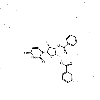 O=C(OC[C@@H]1O[C@@H](n2ccc(=O)[nH]c2=O)[C@@H](F)[C@@H]1OC(=O)c1ccccc1)c1ccccc1